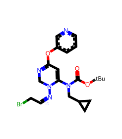 CC(C)(C)OC(=O)N(CC1CC1)C1=CC(Oc2cccnc2)=NCN1/N=C\CBr